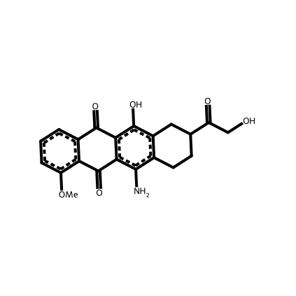 COc1cccc2c1C(=O)c1c(N)c3c(c(O)c1C2=O)CC(C(=O)CO)CC3